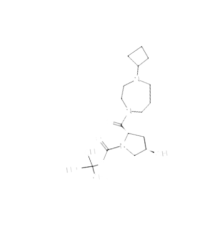 CC(C)(C)OC(=O)N1C[C@H](O)C[C@@H]1C(=O)N1CCCN(C2CCC2)CC1